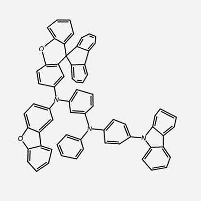 c1ccc(N(c2ccc(-n3c4ccccc4c4ccccc43)cc2)c2cccc(N(c3ccc4c(c3)C3(c5ccccc5O4)c4ccccc4-c4ccccc43)c3ccc4oc5ccccc5c4c3)c2)cc1